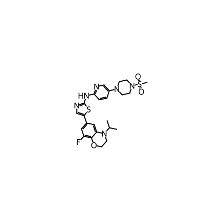 CC(C)N1CCOc2c(F)cc(-c3cnc(Nc4ccc(N5CCN(S(C)(=O)=O)CC5)cn4)s3)cc21